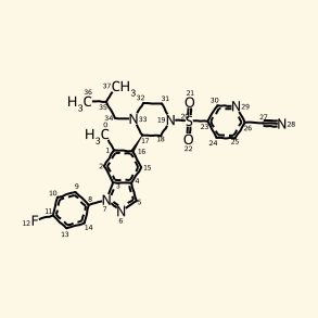 Cc1cc2c(cnn2-c2ccc(F)cc2)cc1[C@@H]1CN(S(=O)(=O)c2ccc(C#N)nc2)CCN1CC(C)C